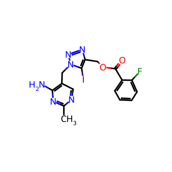 Cc1ncc(Cn2nnc(COC(=O)c3ccccc3F)c2I)c(N)n1